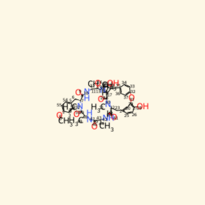 COc1ccc(C[C@H]2C(=O)N[C@H](C)C(=O)N(C)[C@@H]3C(=O)N(C)[C@@H](Cc4ccc(O)c(c4)Oc4ccc(cc4)[C@H]3O)C(=O)N[C@@H](C)C(=O)N[C@H](C)C(=O)N2C)cc1